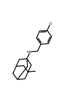 CC12CC3CC(C1)CC(NCc1ccc(Cl)cc1)(C3)C2